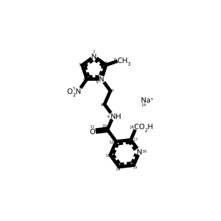 Cc1ncc([N+](=O)[O-])n1CCNC(=O)c1cccnc1C(=O)O.[Na+]